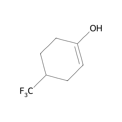 OC1=CCC(C(F)(F)F)CC1